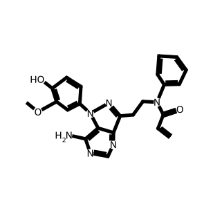 C=CC(=O)N(CCc1nn(-c2ccc(O)c(OC)c2)c2c(N)ncnc12)c1ccccc1